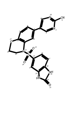 N#Cc1ncc(-c2ccc3c(c2)N(S(=O)(=O)c2ccc4[nH]c(=O)[nH]c4c2)CCO3)cn1